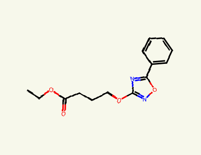 CCOC(=O)CCCOc1noc(-c2ccccc2)n1